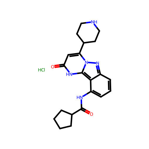 Cl.O=C(Nc1cccc2nn3c(C4CCNCC4)cc(=O)[nH]c3c12)C1CCCC1